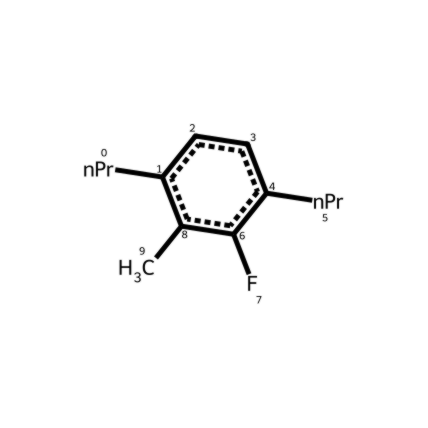 CCCc1ccc(CCC)c(F)c1C